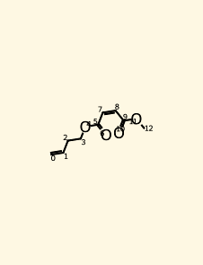 C=CCCOC(=O)/C=C\C(=O)OC